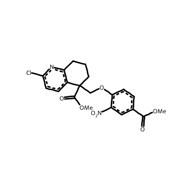 COC(=O)c1ccc(OCC2(C(=O)OC)CCCc3nc(Cl)ccc32)c([N+](=O)[O-])c1